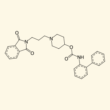 O=C(Nc1ccccc1-c1ccccc1)OC1CCN(CCCN2C(=O)c3ccccc3C2=O)CC1